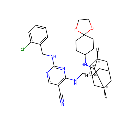 N#Cc1cnc(NCc2ccccc2Cl)nc1NC[C@]12CC3C[C@H](C1)[C@@H](NC1CCC4(CC1)OCCO4)[C@@H](C3)C2